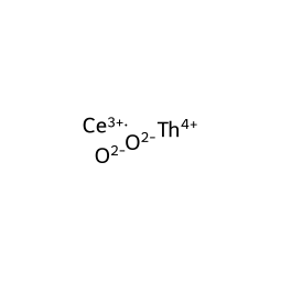 [Ce+3].[O-2].[O-2].[Th+4]